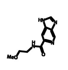 COCCNC(=O)c1cc2[nH]cnc2cn1